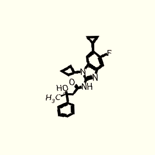 C[C@@](O)(CC(=O)Nc1nc2cc(F)c(C3CC3)cc2n1C1CCC1)c1ccccc1